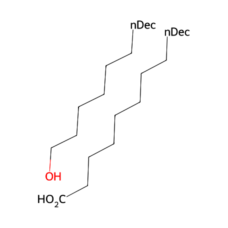 CCCCCCCCCCCCCCCCCC(=O)O.CCCCCCCCCCCCCCCCO